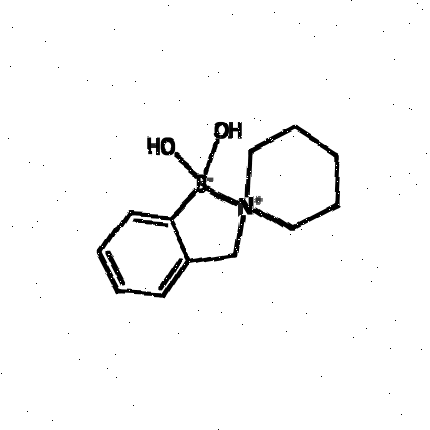 O[B-]1(O)c2ccccc2C[N+]12CCCCC2